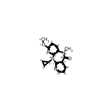 COc1ccc2c(n1)N(C1CC1)c1ncccc1C(=O)N2C